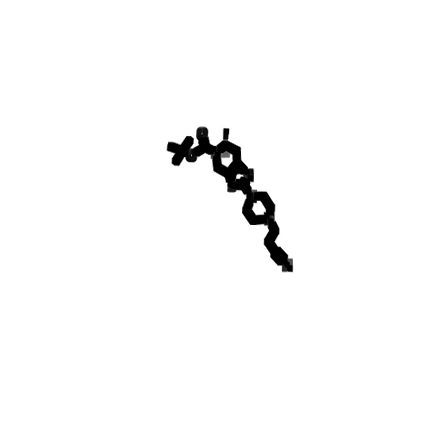 C[C@@H]1Cc2nc(N3CCN(CCC#N)CC3)sc2CN1C(=O)OC(C)(C)C